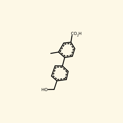 Cc1cc(C(=O)O)ccc1-c1ccc(CO)cc1